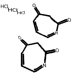 Cl.Cl.Cl.O=C1C=CC=NC(=O)C1.O=C1C=CC=NC(=O)C1